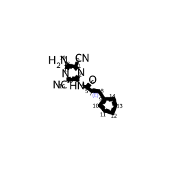 N#Cc1nc(NC(=O)/C=C/c2ccccc2)c(C#N)nc1N